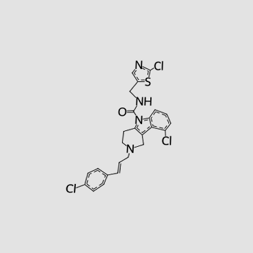 O=C(NCc1cnc(Cl)s1)n1c2c(c3c(Cl)cccc31)CN(C/C=C/c1ccc(Cl)cc1)CC2